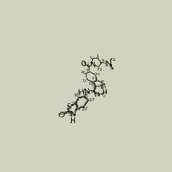 CN(C)C1CCN(C(=O)C2CCc3c(sc4ncnc(Nc5ccc6[nH]c(=O)sc6c5)c34)C2)C1